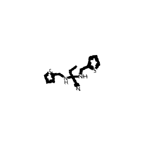 CCC(C#N)(NCc1cccs1)NCc1cccs1